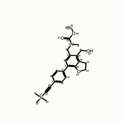 CN(Cc1cc(-c2ccc(C#C[Si](C)(C)C)cc2)c2c(c1CO)CCO2)C(=O)OC(C)(C)C